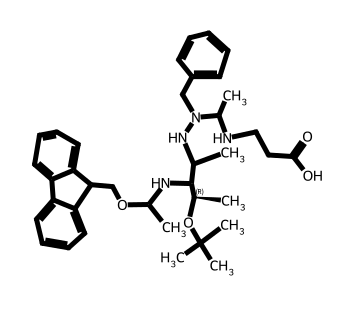 CC(NC(C(C)NN(Cc1ccccc1)C(C)NCCC(=O)O)[C@@H](C)OC(C)(C)C)OCC1c2ccccc2-c2ccccc21